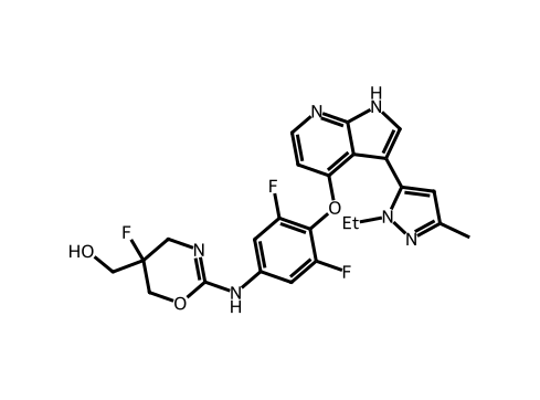 CCn1nc(C)cc1-c1c[nH]c2nccc(Oc3c(F)cc(NC4=NCC(F)(CO)CO4)cc3F)c12